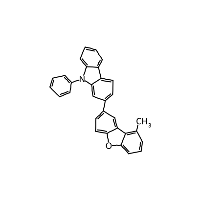 Cc1cccc2oc3ccc(-c4ccc5c6ccccc6n(-c6ccccc6)c5c4)cc3c12